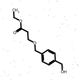 CCOC(=O)CCOCc1ccc(CO)cc1